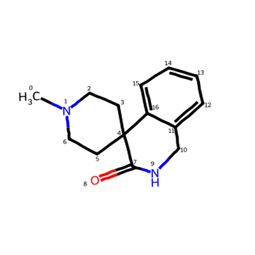 CN1CCC2(CC1)C(=O)NCc1ccccc12